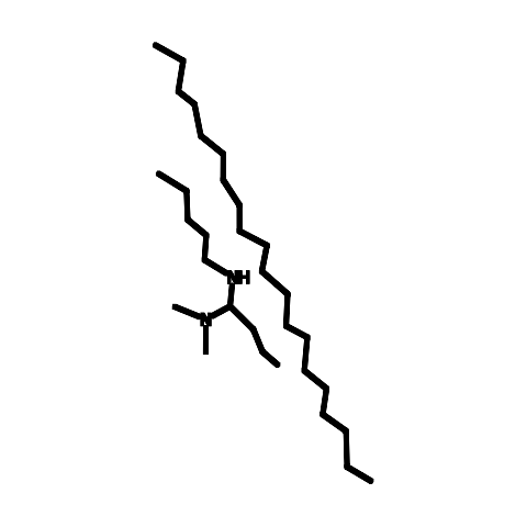 CCCCCCCCCCCCCCCCCCCC.CCCCCNC(CCC)N(C)C